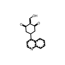 O=C1CC(c2ccnc3ccccc23)CC(=O)C1=CO